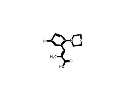 C/C(=C\c1cc(Br)ccc1N1CCCCC1)C(=O)O